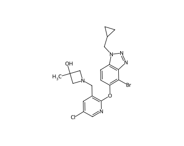 CC1(O)CN(Cc2cc(Cl)cnc2Oc2ccc3c(nnn3CC3CC3)c2Br)C1